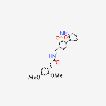 COc1ccc(/C=C/C(=O)NCCc2ccc(-c3ccccc3)c(S(N)(=O)=O)c2)c(OC)c1